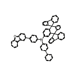 c1ccc(-c2ccc(N(c3ccc(-c4ccc5oc6ccccc6c5c4)cc3)c3ccc4c(c3)C3(c5ccccc5-c5ccccc53)c3ccccc3C43c4ccccc4-c4ccccc43)cc2)cc1